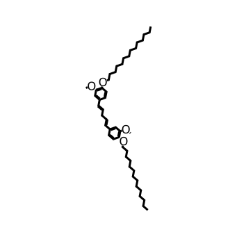 CCCCCCCCCCCCCCOc1ccc(C=CCC=Cc2ccc(OCCCCCCCCCCCCCC)c(OC)c2)cc1OC